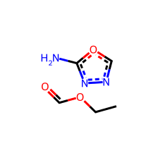 CCOC=O.Nc1nnco1